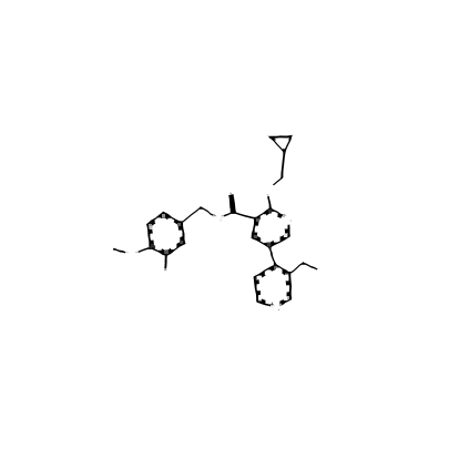 COc1ccc(CNC(=O)c2cc(-c3ccncc3CO)cnc2OCC2CC2)cc1F